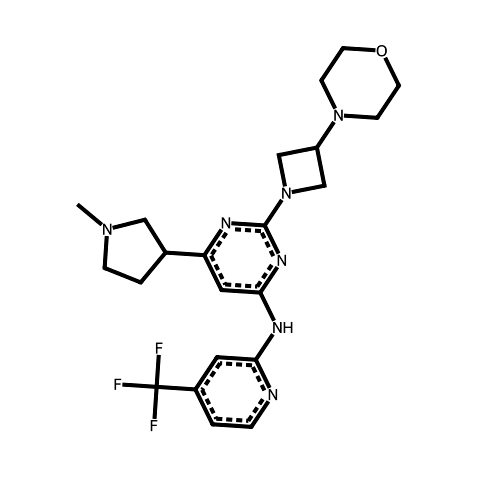 CN1CCC(c2cc(Nc3cc(C(F)(F)F)ccn3)nc(N3CC(N4CCOCC4)C3)n2)C1